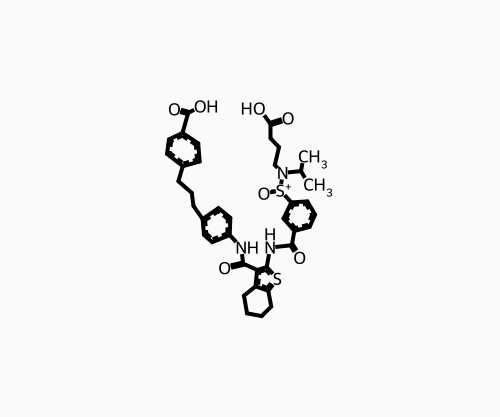 CC(C)N(CCCC(=O)O)[S+]([O-])c1cccc(C(=O)Nc2sc3c(c2C(=O)Nc2ccc(CCCc4ccc(C(=O)O)cc4)cc2)CCCC3)c1